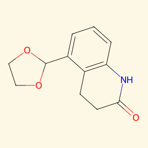 O=C1CCc2c(cccc2C2OCCO2)N1